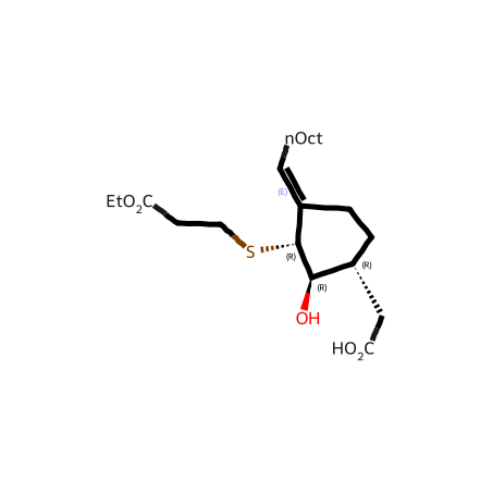 CCCCCCCC/C=C1\CC[C@H](CC(=O)O)[C@@H](O)[C@@H]1SCCC(=O)OCC